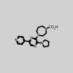 O=C(O)N1CCCN(c2nc(-c3ccncc3)cnc2N2CCCC2)CC1